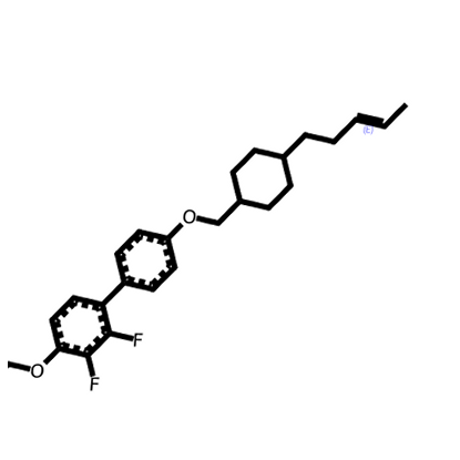 C/C=C/CCC1CCC(COc2ccc(-c3ccc(OCC)c(F)c3F)cc2)CC1